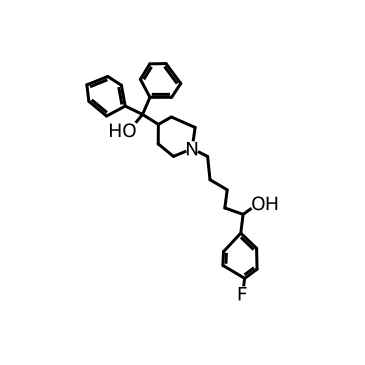 OC(CCCCN1CCC(C(O)(c2ccccc2)c2ccccc2)CC1)c1ccc(F)cc1